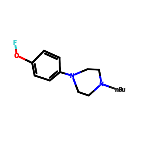 CCCCN1CCN(c2ccc(OF)cc2)CC1